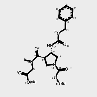 COC(=O)CN(C)C(=O)[C@@H]1CN(C(=O)OC(C)(C)C)C[C@H]1NC(=O)OCc1ccccc1